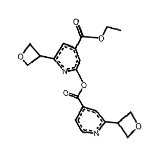 CCOC(=O)c1cc(OC(=O)c2ccnc(C3COC3)c2)nc(C2COC2)c1